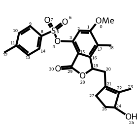 COc1cc(OS(=O)(=O)c2ccc(C)cc2)c2c(c1C)C(CC1=C(C)C(O)CC1)OC2=O